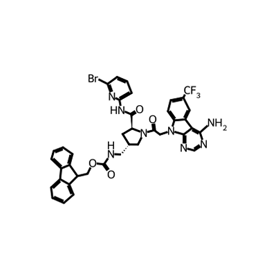 Nc1ncnc2c1c1cc(C(F)(F)F)ccc1n2CC(=O)N1C[C@H](CNC(=O)OCC2c3ccccc3-c3ccccc32)C[C@H]1C(=O)Nc1cccc(Br)n1